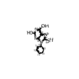 Oc1nc(O)c2nc(S)n(-c3ccccc3)c2n1